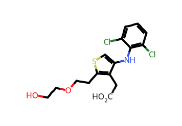 O=C(O)Cc1c(Nc2c(Cl)cccc2Cl)csc1CCOCCO